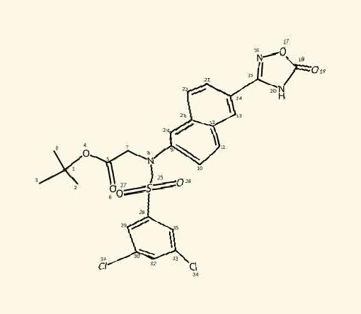 CC(C)(C)OC(=O)CN(c1ccc2cc(-c3noc(=O)[nH]3)ccc2c1)S(=O)(=O)c1cc(Cl)cc(Cl)c1